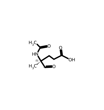 CC(=O)N[C@](C)([C]=O)CCC(=O)O